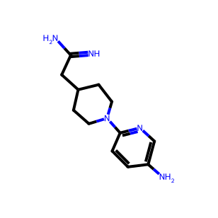 N=C(N)CC1CCN(c2ccc(N)cn2)CC1